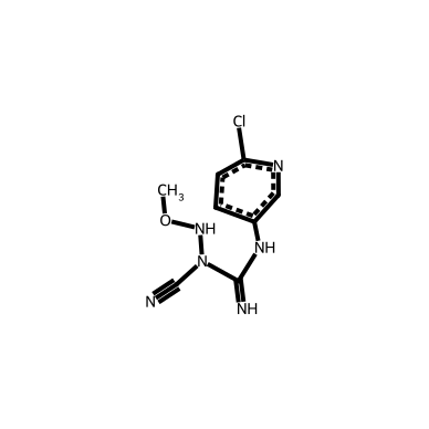 CONN(C#N)C(=N)Nc1ccc(Cl)nc1